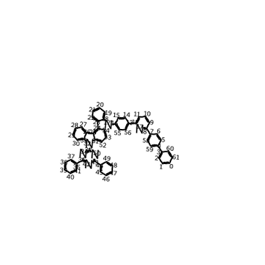 c1ccc(-c2ccc(-c3cccc(-c4ccc(-n5c6ccccc6c6c7c8ccccc8n(-c8nc(-c9ccccc9)nc(-c9ccccc9)n8)c7ccc65)cc4)n3)cc2)cc1